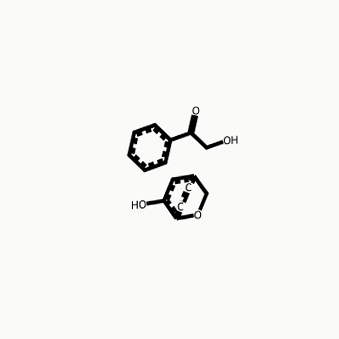 O=C(CO)c1ccccc1.Oc1cc2ccc1OC2